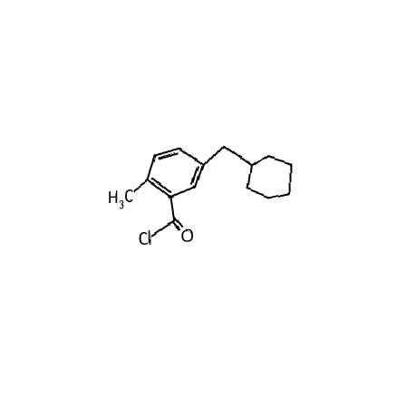 Cc1ccc(CC2CCCCC2)cc1C(=O)Cl